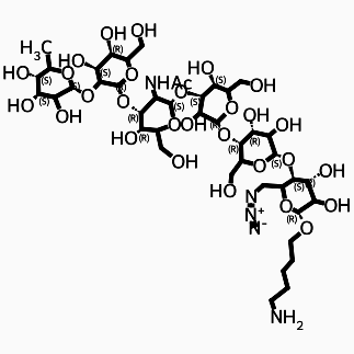 CC(=O)NC1[C@H](O[C@@H]2C(O)[C@@H](O[C@H]3C(CO)O[C@@H](O[C@@H]4C(CN=[N+]=[N-])O[C@@H](OCCCCCN)C(O)[C@H]4O)C(O)[C@H]3O)OC(CO)[C@@H]2O)OC(CO)[C@H](O)[C@@H]1O[C@@H]1OC(CO)[C@H](O)[C@H](O)C1O[C@@H]1OC(C)[C@@H](O)[C@H](O)C1O